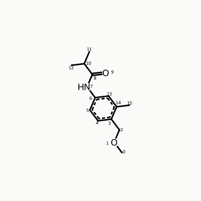 COCc1ccc(NC(=O)C(C)C)cc1C